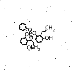 C=CCc1c(O)cccc1OP(=O)(Oc1ccccc1)Oc1cccc(O)c1CC=C